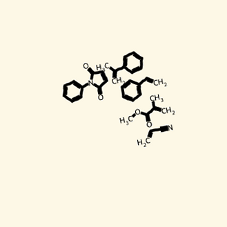 C=C(C)C(=O)OC.C=C(C)c1ccccc1.C=CC#N.C=Cc1ccccc1.O=C1C=CC(=O)N1c1ccccc1